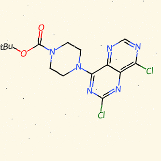 CC(C)(C)OC(=O)N1CCN(c2nc(Cl)nc3c(Cl)ncnc23)CC1